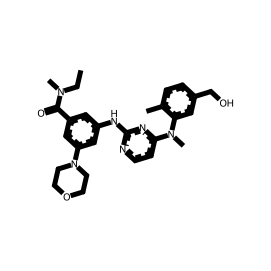 CCN(C)C(=O)c1cc(Nc2nccc(N(C)c3cc(CO)ccc3C)n2)cc(N2CCOCC2)c1